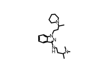 CC(CCNc1nn(CCC(C)N2CCCCC2)c2ccccc12)N(C)C